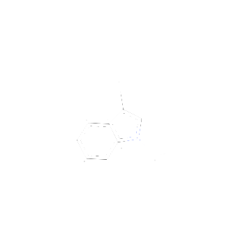 CCCCCn1cc(C=O)c2ccccc21